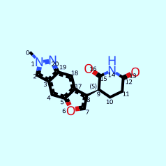 Cn1cc2cc3occ([C@@H]4CCC(=O)NC4=O)c3cc2n1